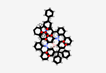 CC12CCCCC1(C)N(c1cc3c4c(c1)N(c1c(-c5ccccc5)cccc1-c1ccccc1)c1cccc5c1B4c1c(cccc1C5(c1ccccc1)c1ccccc1)N3c1c(-c3ccccc3)cccc1-c1ccccc1)c1ccc(-c3ccccc3)cc12